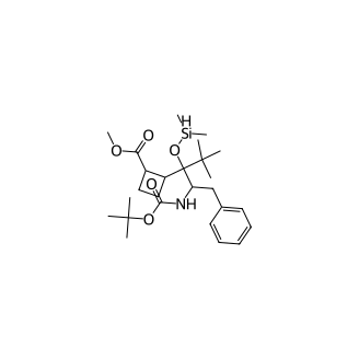 COC(=O)C1CCC1C(O[SiH](C)C)(C(Cc1ccccc1)NC(=O)OC(C)(C)C)C(C)(C)C